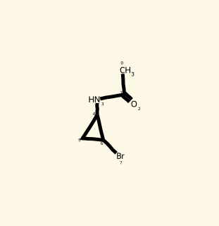 CC(=O)NC1CC1Br